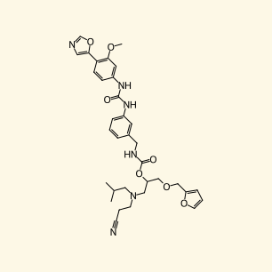 COc1cc(NC(=O)Nc2cccc(CNC(=O)OC(COCc3ccco3)CN(CCC#N)CC(C)C)c2)ccc1-c1cnco1